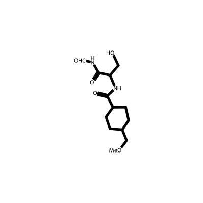 COCC1CCC(C(=O)NC(CO)C(=O)NC=O)CC1